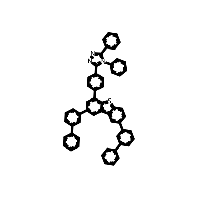 c1ccc(-c2cccc(-c3ccc4sc5c(-c6ccc(-c7nnc(-c8ccccc8)n7-c7ccccc7)cc6)cc(-c6cccc(-c7ccccc7)c6)cc5c4c3)c2)cc1